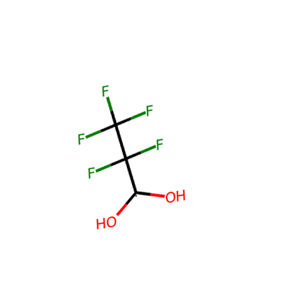 O[C](O)C(F)(F)C(F)(F)F